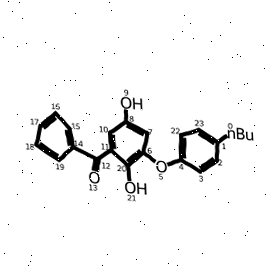 CCCCc1ccc(Oc2cc(O)cc(C(=O)c3ccccc3)c2O)cc1